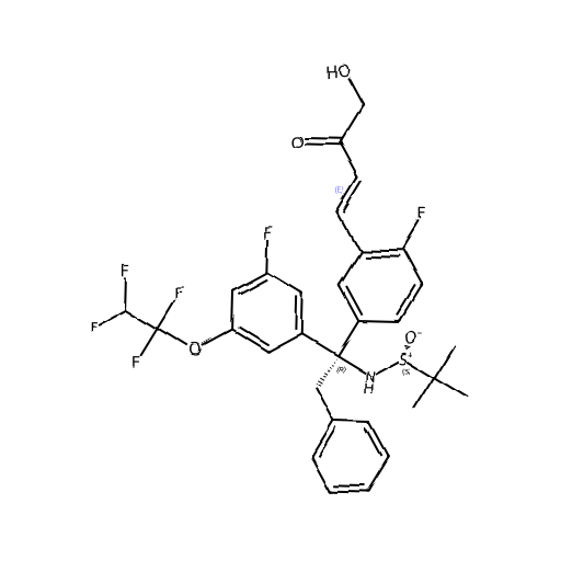 CC(C)(C)[S@@+]([O-])N[C@@](Cc1ccccc1)(c1cc(F)cc(OC(F)(F)C(F)F)c1)c1ccc(F)c(/C=C/C(=O)CO)c1